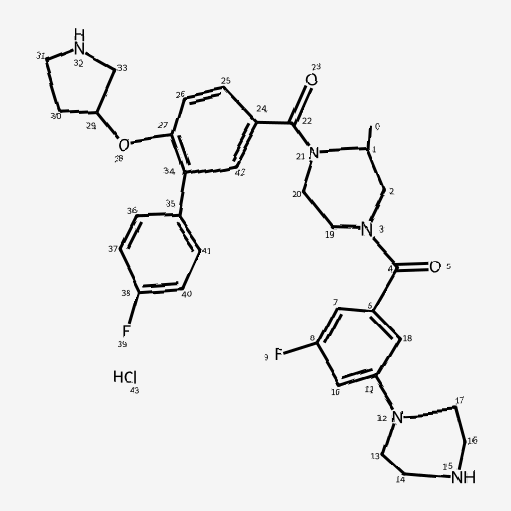 CC1CN(C(=O)c2cc(F)cc(N3CCNCC3)c2)CCN1C(=O)c1ccc(OC2CCNC2)c(-c2ccc(F)cc2)c1.Cl